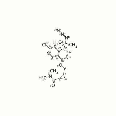 CN(C)C(=O)C1CC1COc1ncc(C(C)(C)N=[N+]=[N-])c2cc(Cl)ncc12